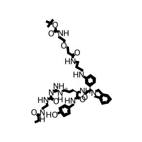 CCC(=O)NCCNC(=O)/N=C(/N)NCCC[C@@H](NC(=O)[C@H](c1cccc(NCCCNC(=O)CCOCCNC(=O)OC(C)(C)C)c1)N1Cc2ccccc2C1)C(=O)NCc1ccc(O)cc1